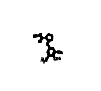 COC(=O)[C@@H]1CCCN1Cc1cc(N)c(O)c(C#N)c1